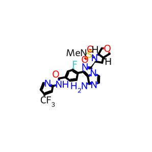 CNS(=O)(=O)N1[C@@H]2COC[C@@H]2C[C@H]1c1nc(-c2ccc(C(=O)Nc3cc(C(F)(F)F)ccn3)cc2F)c2c(N)nccn12